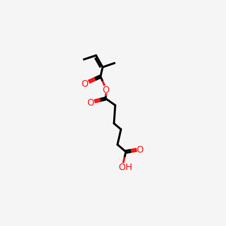 CC=C(C)C(=O)OC(=O)CCCCC(=O)O